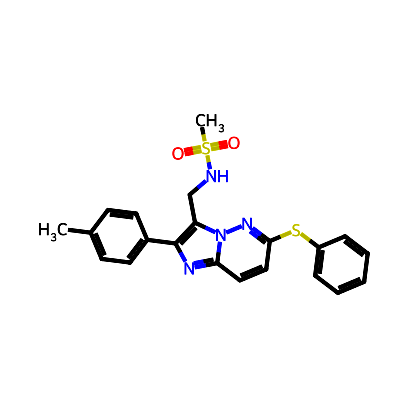 Cc1ccc(-c2nc3ccc(Sc4ccccc4)nn3c2CNS(C)(=O)=O)cc1